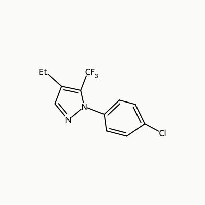 CCc1cnn(-c2ccc(Cl)cc2)c1C(F)(F)F